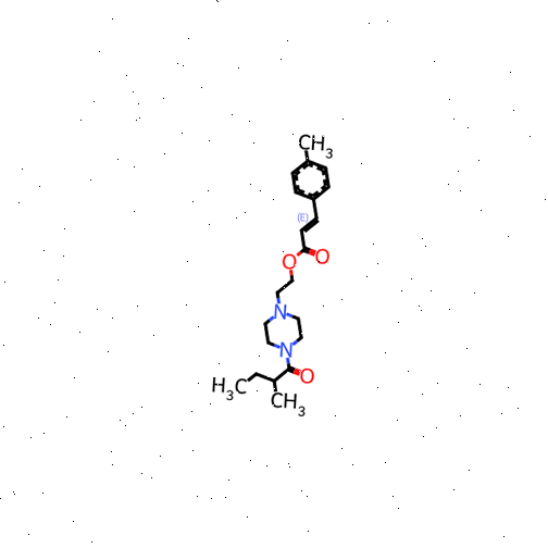 CCC(C)C(=O)N1CCN(CCOC(=O)/C=C/c2ccc(C)cc2)CC1